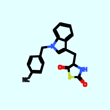 N#Cc1ccc(Cn2cc(CC3NC(=O)SC3=O)c3ccccc32)cc1